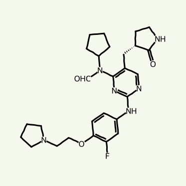 O=CN(c1nc(Nc2ccc(OCCN3CCCC3)c(F)c2)ncc1C[C@@H]1CCNC1=O)C1CCCC1